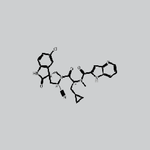 CN(C(=O)c1cc2ncccc2[nH]1)[C@@H](CC1CC1)C(=O)N1C[C@]2(C[C@H]1C#N)C(=O)Nc1ccc(Cl)cc12